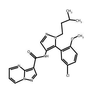 COc1ccc(Cl)cc1-c1c(NC(=O)c2cnn3cccnc23)cnn1CCC(C)C